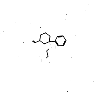 O=CC1CCC[C@](NCCO)(c2ccccc2)C1